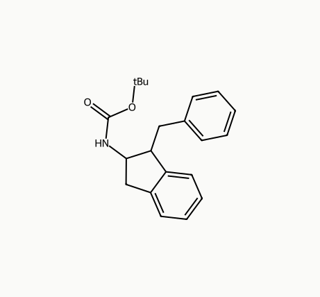 CC(C)(C)OC(=O)NC1Cc2ccccc2C1Cc1ccccc1